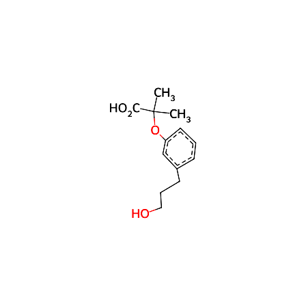 CC(C)(Oc1cccc(CCCO)c1)C(=O)O